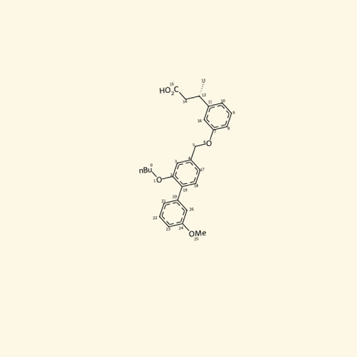 CCCCOc1cc(COc2cccc([C@@H](C)CC(=O)O)c2)ccc1-c1cccc(OC)c1